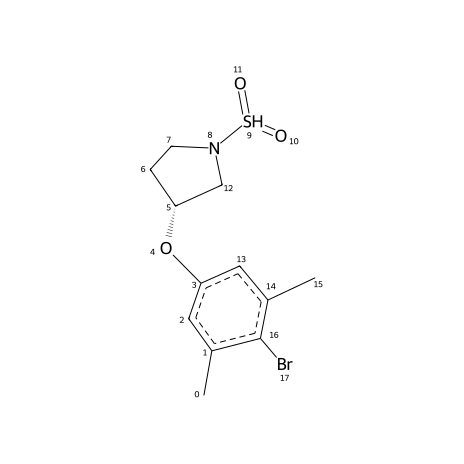 Cc1cc(O[C@@H]2CCN([SH](=O)=O)C2)cc(C)c1Br